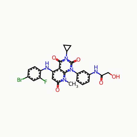 Cn1c(=O)cc(Nc2ccc(Br)cc2F)c2c(=O)n(C3CC3)c(=O)n(-c3cccc(NC(=O)CO)c3)c21